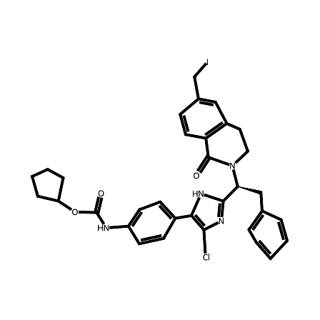 O=C(Nc1ccc(-c2[nH]c([C@H](Cc3ccccc3)N3CCc4cc(CI)ccc4C3=O)nc2Cl)cc1)OC1CCCC1